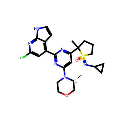 C[C@@H]1COCCN1c1cc(C2(C)CCCS2(=O)=NC2CC2)nc(-c2cc(Cl)nc3[nH]ccc23)n1